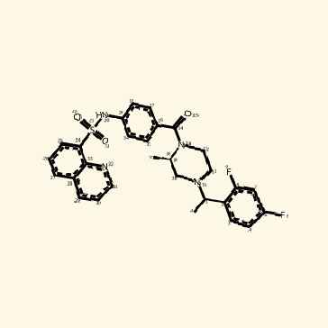 CC(c1ccc(F)cc1F)N1CCN(C(=O)c2ccc(NS(=O)(=O)c3cccc4cccnc34)cc2)[C@H](C)C1